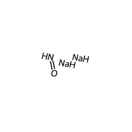 N=O.[NaH].[NaH]